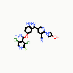 N#Cc1cc(-c2n[nH]c3ccc(O[C@H](N)c4c(Cl)cnc(F)c4Cl)cc23)cnc1N1CC(O)C1